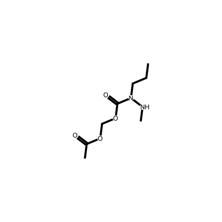 CCCN(NC)C(=O)OCOC(C)=O